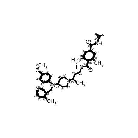 COc1ccc(N(Cc2cnccc2C)C2CCN(C(C)CCNC(=O)c3c(C)cc(C(=O)NC4CC4)cc3C)CC2)cc1